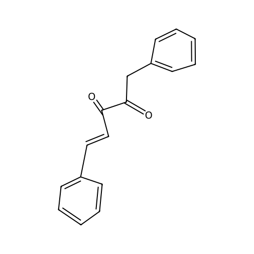 O=C(C=Cc1ccccc1)C(=O)Cc1ccccc1